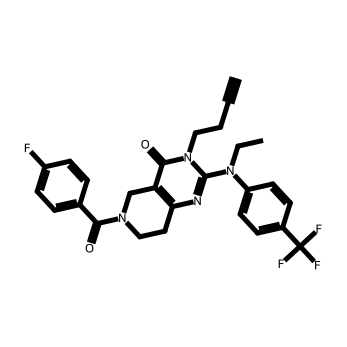 C#CCCn1c(N(CC)c2ccc(C(F)(F)F)cc2)nc2c(c1=O)CN(C(=O)c1ccc(F)cc1)CC2